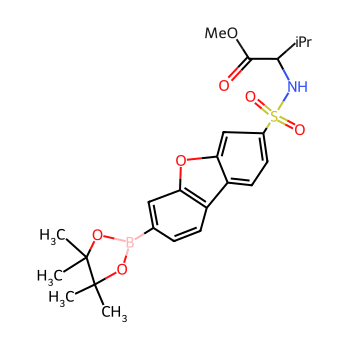 COC(=O)C(NS(=O)(=O)c1ccc2c(c1)oc1cc(B3OC(C)(C)C(C)(C)O3)ccc12)C(C)C